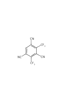 N#Cc1cc(C#N)c(C(F)(F)F)c(C#N)c1C(F)(F)F